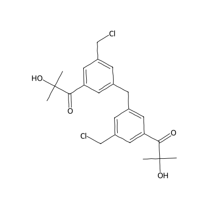 CC(C)(O)C(=O)c1cc(CCl)cc(Cc2cc(CCl)cc(C(=O)C(C)(C)O)c2)c1